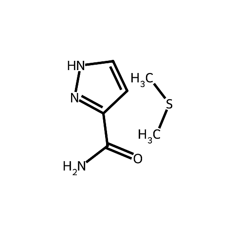 CSC.NC(=O)c1cc[nH]n1